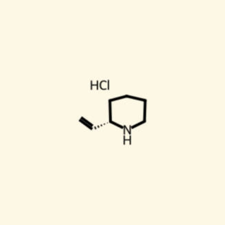 C=C[C@@H]1CCCCN1.Cl